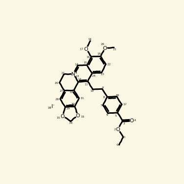 CCOC(=O)c1ccc(CCc2c3[n+](cc4c(OC)c(OC)ccc24)CCc2cc4c(cc2-3)OCO4)cc1.[I-]